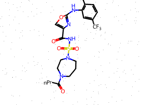 CCCC(=O)N1CCCN(S(=O)(=O)NC(=O)c2coc(Nc3cc(C(F)(F)F)ccc3C)n2)CC1